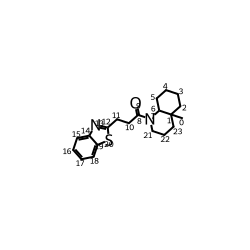 CC12CCCCC1N(C(=O)CCc1nc3ccccc3s1)CCC2